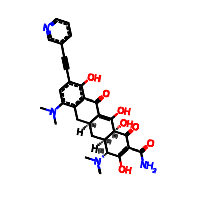 CN(C)c1cc(C#Cc2cccnc2)c(O)c2c1C[C@@H]1C[C@@H]3[C@@H](N(C)C)C(O)=C(C(N)=O)C(=O)[C@]3(O)C(O)=C1C2=O